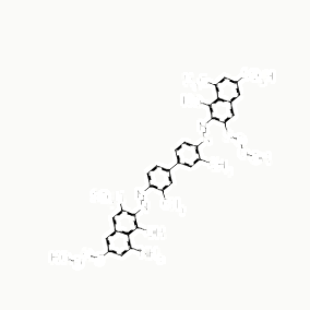 Cc1cc(-c2ccc(/N=N/c3c(S(=O)(=O)O)cc4cc(SOOO)cc(N)c4c3O)c(C)c2)ccc1/N=N/c1c(SOOO)cc2cc(S(=O)(=O)O)cc(C)c2c1O